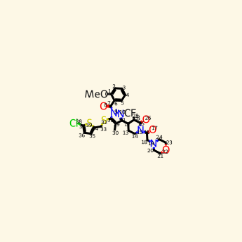 COc1ccccc1C(=O)n1nc(C2CCN(C(=O)CN3CCOCC3)C(=O)C2C(F)(F)F)c(C)c1SCc1ccc(Cl)s1